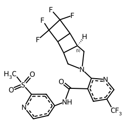 CS(=O)(=O)c1cc(NC(=O)c2cc(C(F)(F)F)cnc2N2CC3C4C([C@H]3C2)C(F)(F)C4(F)F)ccn1